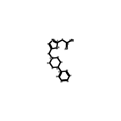 CCC(=O)Cc1ncc(CN2CCC(c3ccccc3)CC2)s1